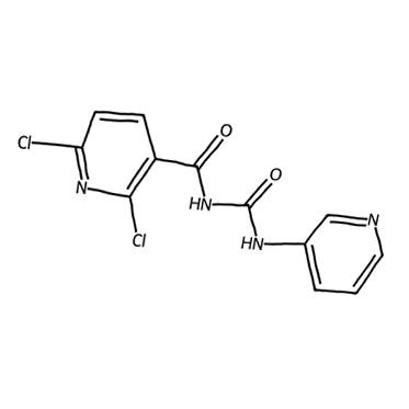 O=C(NC(=O)c1ccc(Cl)nc1Cl)Nc1cccnc1